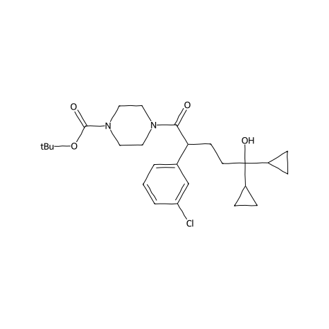 CC(C)(C)OC(=O)N1CCN(C(=O)C(CCC(O)(C2CC2)C2CC2)c2cccc(Cl)c2)CC1